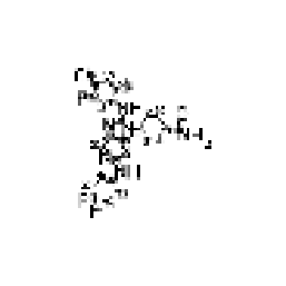 NC(=O)C1CCC(n2c(Nc3cc(F)c(Cl)cc3F)nc3cnc(NC4CCC(F)(F)CC4)nc32)CC1